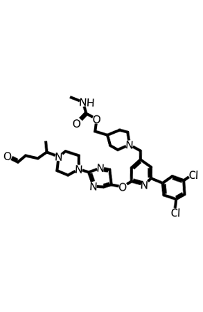 CNC(=O)OCC1CCN(Cc2cc(Oc3cnc(N4CCN(C(C)CCC=O)CC4)nc3)nc(-c3cc(Cl)cc(Cl)c3)c2)CC1